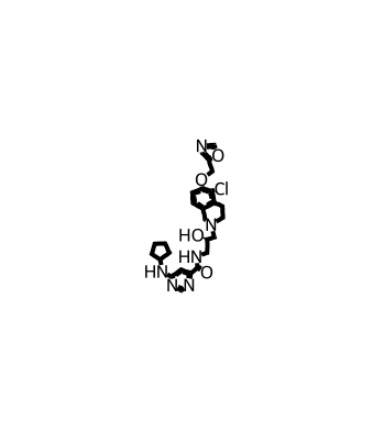 O=C(NC[C@H](O)CN1CCc2c(ccc(OCc3cnco3)c2Cl)C1)c1cc(NC2CCCC2)ncn1